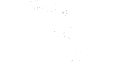 C=C(/C=C1/CC[C@H](CCc2cccnc2)C/C1=C/C)[C@H]1CC[C@](N)(CO)C1